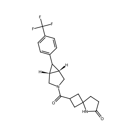 O=C1CCC2(CC(C(=O)N3C[C@@H]4C(c5ccc(C(F)(F)F)cc5)[C@@H]4C3)C2)N1